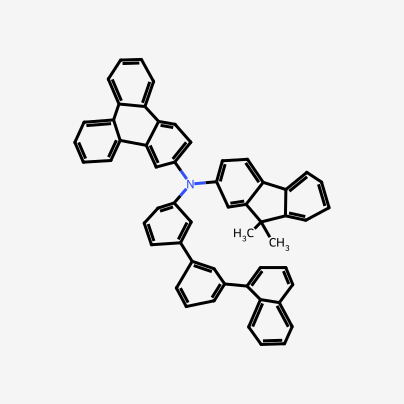 CC1(C)c2ccccc2-c2ccc(N(c3cccc(-c4cccc(-c5cccc6ccccc56)c4)c3)c3ccc4c5ccccc5c5ccccc5c4c3)cc21